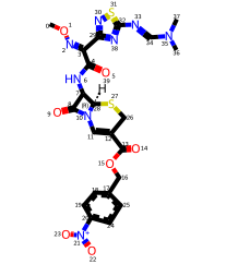 CON=C(C(=O)NC1C(=O)N2C=C(C(=O)OCc3ccc([N+](=O)[O-])cc3)CS[C@H]12)c1nsc(N=CN(C)C)n1